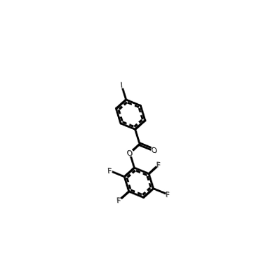 O=C(Oc1c(F)c(F)cc(F)c1F)c1ccc(I)cc1